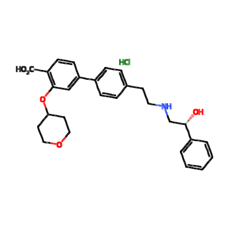 Cl.O=C(O)c1ccc(-c2ccc(CCNC[C@H](O)c3ccccc3)cc2)cc1OC1CCOCC1